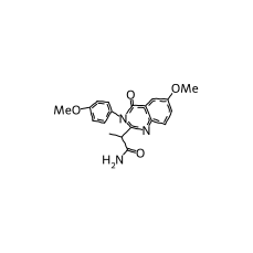 COc1ccc(-n2c(C(C)C(N)=O)nc3ccc(OC)cc3c2=O)cc1